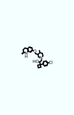 C=C1CCc2ccc(OCC3CN(CC(O)C4(c5ccc(Cl)cc5)CCC4)CCC3C)cc2N1